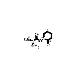 CC(C)(C)N(N)C(=O)ON1CCCCC1=O